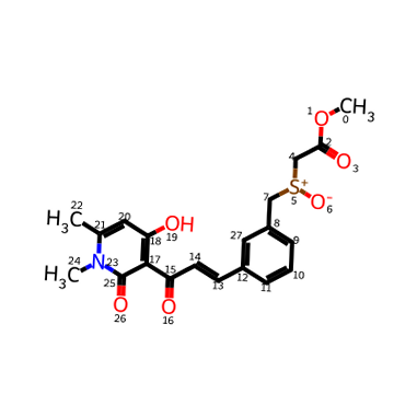 COC(=O)C[S+]([O-])Cc1cccc(C=CC(=O)c2c(O)cc(C)n(C)c2=O)c1